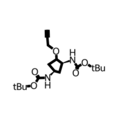 C#CCOC1C[C@H](NC(=O)OC(C)(C)C)C[C@@H]1NC(=O)OC(C)(C)C